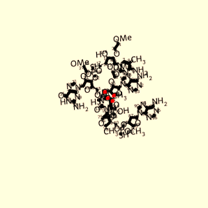 COCCOC1C(n2cc(C)c(N)nc2=O)O[C@H](COP(=O)(S)O[C@@H]2C(OCCOC)C(n3cnc4c(=O)[nH]c(N)nc43)O[C@@H]2COP(=O)(S)O[C@@H]2C(OCCOC)C(n3cnc4c(N)ncnc43)O[C@@H]2COP(=O)(O)O[C@@H]2C3O[C@@H](C)[C@]2(COP(=O)(S)O[C@@H]2CC(n4cnc5c(N)ncnc54)O[C@@H]2C)OC3n2cc(C)c(N)nc2=O)[C@@H]1O